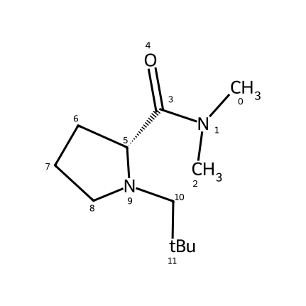 CN(C)C(=O)[C@H]1CCCN1CC(C)(C)C